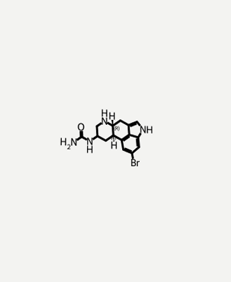 NC(=O)NC1CN[C@@H]2Cc3c[nH]c4cc(Br)cc(c34)[C@H]2C1